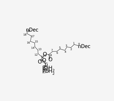 CCCCCCCCCCCCCCCCCC(=O)OC1(CCCCCCCCCCCCCCCCC)OO1.[BaH2].[PbH2].[Ti]